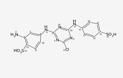 Nc1cc(Nc2nc(Cl)nc(Nc3ccc(S(=O)(=O)O)cc3)n2)ccc1S(=O)(=O)O